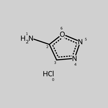 Cl.Nc1cnno1